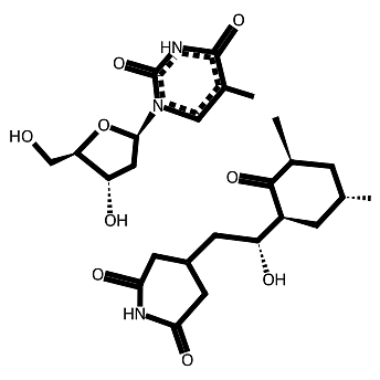 C[C@@H]1C[C@@H]([C@H](O)CC2CC(=O)NC(=O)C2)C(=O)[C@@H](C)C1.Cc1cn([C@H]2C[C@H](O)[C@@H](CO)O2)c(=O)[nH]c1=O